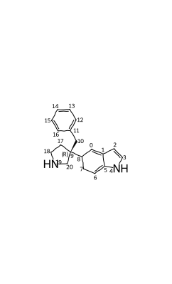 C1=c2cc[nH]c2=CCC1[C@@]1(Cc2ccccc2)CCNC1